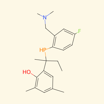 CCC(C)(Pc1ccc(F)cc1CN(C)C)c1cc(C)cc(C)c1O